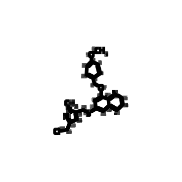 COc1ccc(COc2cc(SCc3cc(CCl)nn3C)cc3cccnc23)cc1